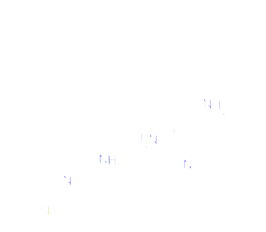 CC(/C=C\C1(N)CCCC1)=C(/N)N1CCCC1CCCNc1cccc(S)n1